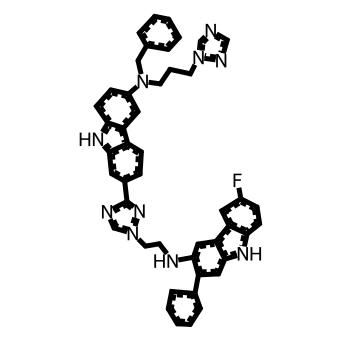 Fc1ccc2[nH]c3cc(-c4ccccc4)c(NCCn4cnc(-c5ccc6c(c5)[nH]c5ccc(N(CCCn7cncn7)Cc7ccccc7)cc56)n4)cc3c2c1